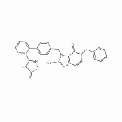 CCCCc1nc2ccn(Cc3ccccc3)c(=O)c2n1Cc1ccc(-c2ccccc2-c2noc(=O)[nH]2)cc1